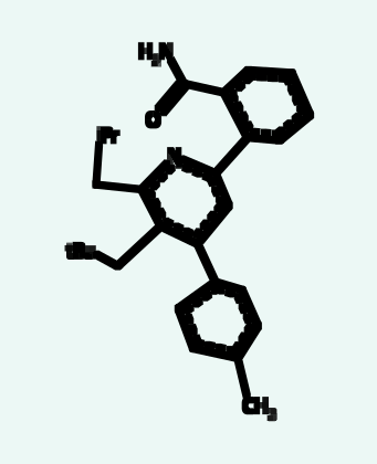 Cc1ccc(-c2cc(-c3ccccc3C(N)=O)nc(CC(C)C)c2CC(C)(C)C)cc1